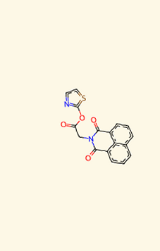 O=C(CN1C(=O)c2cccc3cccc(c23)C1=O)Oc1nccs1